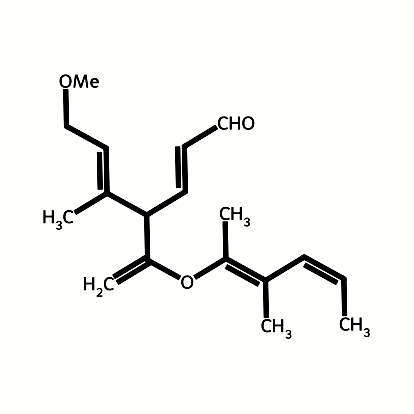 C=C(O/C(C)=C(C)/C=C\C)C(/C=C/C=O)/C(C)=C/COC